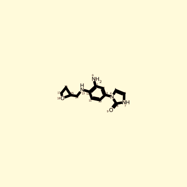 Nc1cc(-n2cc[nH]c2=O)ccc1NCC1CCO1